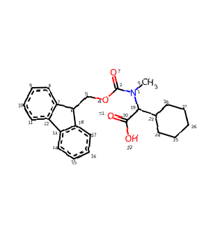 CN(C(=O)OCC1c2ccccc2-c2ccccc21)C(C(=O)O)C1CCCCC1